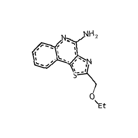 CCOCc1nc2c(N)nc3ccccc3c2s1